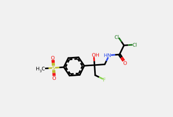 CS(=O)(=O)c1ccc(C(O)(CF)CNC(=O)C(Cl)Cl)cc1